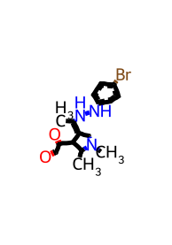 CC(NNc1ccc(Br)cc1)=C1CN(C)C(C)C1C(=O)C=O